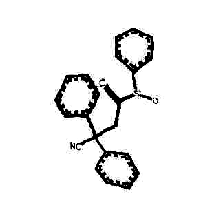 C=C(CC(C#N)(c1ccccc1)c1ccccc1)[S+]([O-])c1ccccc1